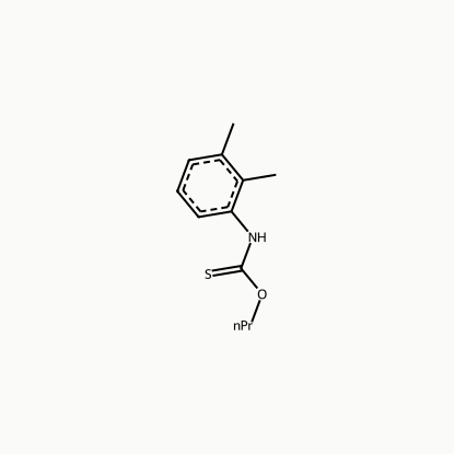 CCCOC(=S)Nc1cccc(C)c1C